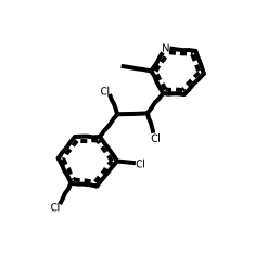 Cc1ncccc1C(Cl)C(Cl)c1ccc(Cl)cc1Cl